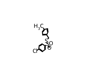 Cc1ccc(CSS(=O)(=O)c2ccc(Cl)cc2)cc1